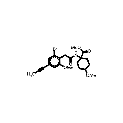 CC#Cc1cc(Br)c(CC(=O)NC2(C(=O)OC)CCC(OC)CC2)c(OC)c1